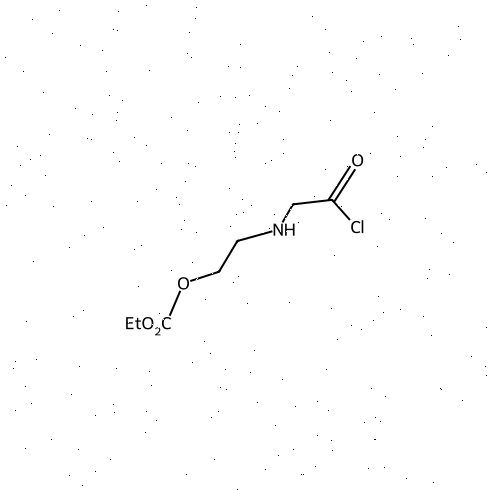 CCOC(=O)OCCNCC(=O)Cl